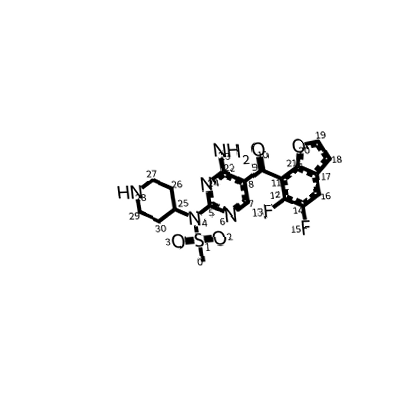 CS(=O)(=O)N(c1ncc(C(=O)c2c(F)c(F)cc3ccoc23)c(N)n1)C1CCNCC1